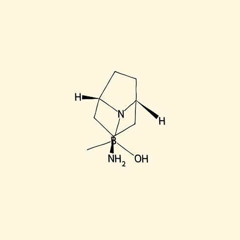 CB(O)N1[C@@H]2CC[C@H]1C[C@H](N)C2